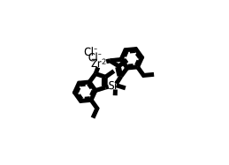 CCc1cccc2c1C1=C(C)[CH]2[Zr+2][CH]2C(C)=C(c3c(CC)cccc32)[Si]1(C)C.[Cl-].[Cl-]